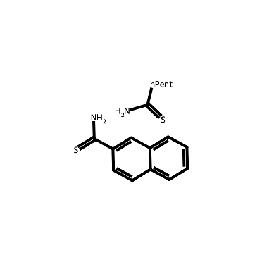 CCCCCC(N)=S.NC(=S)c1ccc2ccccc2c1